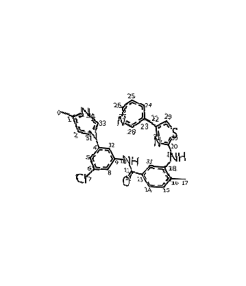 Cc1cn(-c2cc(Cl)cc(NC(=O)c3ccc(C)c(Nc4nc(-c5cccnc5)cs4)c3)c2)cn1